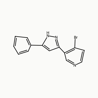 Brc1ccncc1-c1cc(-c2ccccc2)[nH]n1